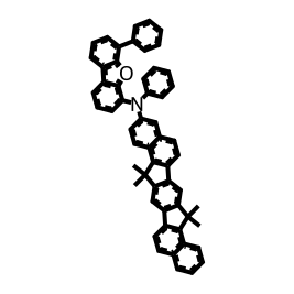 CC1(C)c2cc3c(cc2-c2ccc4ccccc4c21)C(C)(C)c1c-3ccc2cc(N(c3ccccc3)c3cccc4c3oc3c(-c5ccccc5)cccc34)ccc12